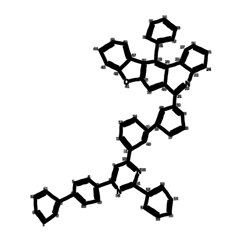 c1ccc(-c2ccc(-c3cc(-c4cccc(-c5cccc(-c6nc7ccccc7c7c(-c8ccccc8)c8c(cc67)oc6ccccc68)c5)c4)nc(-c4ccccc4)n3)cc2)cc1